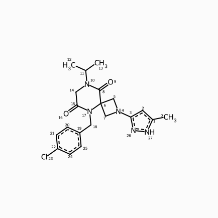 Cc1cc(N2CC3(C2)C(=O)N(C(C)C)CC(=O)N3Cc2ccc(Cl)cc2)n[nH]1